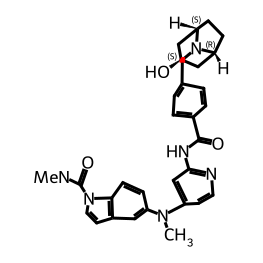 CNC(=O)n1ccc2cc(N(C)c3ccnc(NC(=O)c4ccc(CN5[C@@H]6CC[C@H]5C[C@H](O)C6)cc4)c3)ccc21